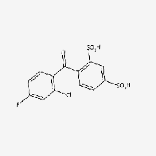 O=C(c1ccc(F)cc1Cl)c1ccc(S(=O)(=O)O)cc1S(=O)(=O)O